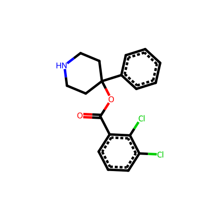 O=C(OC1(c2ccccc2)CCNCC1)c1cccc(Cl)c1Cl